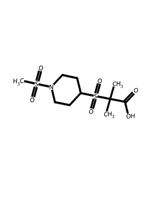 CC(C)(C(=O)O)S(=O)(=O)C1CCN(S(C)(=O)=O)CC1